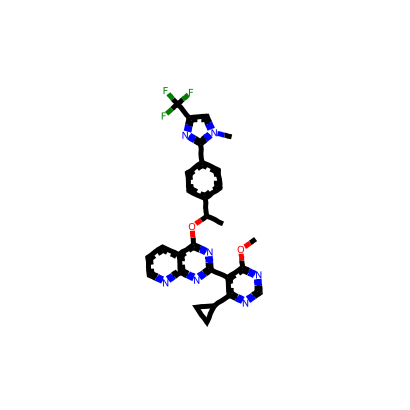 COc1ncnc(C2CC2)c1-c1nc(OC(C)c2ccc(-c3nc(C(F)(F)F)cn3C)cc2)c2cccnc2n1